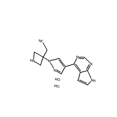 Cl.Cl.N#CCC1(n2cc(-c3ncnc4[nH]ccc34)cn2)CNC1